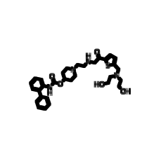 O=C(Nc1ccccc1-c1ccccc1)OC1CCN(CCNCC(=O)c2ccc(CN(CCO)CCO)s2)CC1